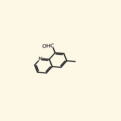 Cc1cc(C=O)c2ncccc2c1